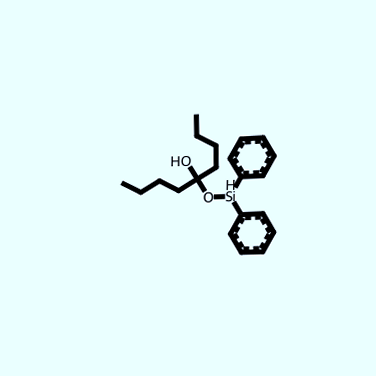 CCCCC(O)(CCCC)O[SiH](c1ccccc1)c1ccccc1